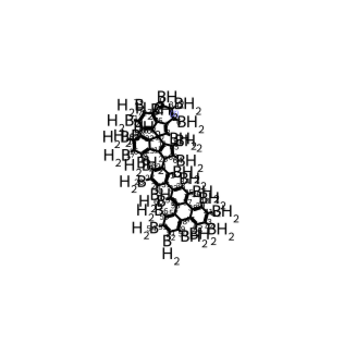 BC(=C)/C(B)=C(/B)C1=C(B)C2(C3=C(c4c(B)c(B)c(B)c(B)c42)C(c2c(B)c(B)c(B)c(-c4c(B)c(B)c5c6c(B)c(B)c(B)c(B)c6c6c(B)c(B)c(B)c(B)c6c5c4B)c2B)C(B)=C3B)c2c(B)c(B)c(B)c(B)c21